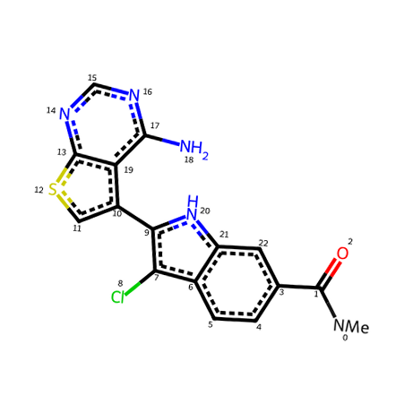 CNC(=O)c1ccc2c(Cl)c(-c3csc4ncnc(N)c34)[nH]c2c1